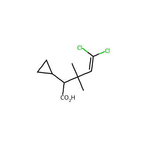 CC(C)(C=C(Cl)Cl)C(C(=O)O)C1CC1